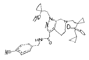 N#Cc1ccc(CNC(=O)c2nn(CC3(O)CC3)c3c2CCN(CC2(S(=O)(=O)C4CC4)CC2)C3)cc1